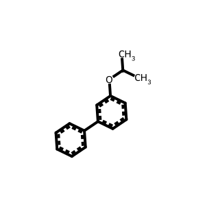 C[C](C)Oc1cccc(-c2ccccc2)c1